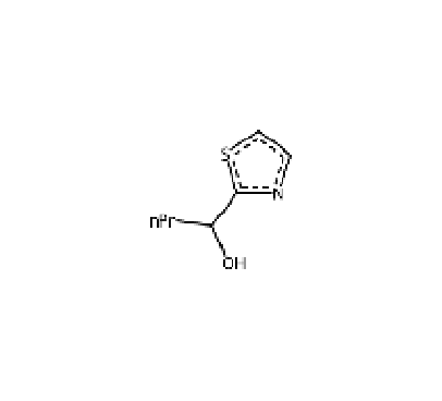 CCCC(O)c1nccs1